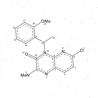 CNc1nc2ccc(Cl)nc2n(C(C)c2ccccc2OC)c1=O